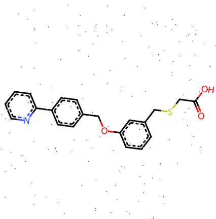 O=C(O)CSCc1cccc(OCc2ccc(-c3ccccn3)cc2)c1